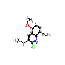 CCc1cc2c(OC)ccc(C)c2nc1Cl